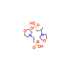 CC(CS(=O)(=O)O)N1CCOCC1.O=S(=O)(O)CCN1CCOCC1